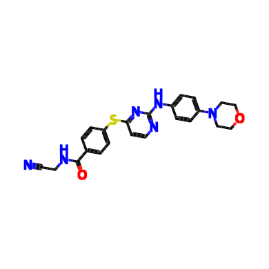 N#CCNC(=O)c1ccc(Sc2ccnc(Nc3ccc(N4CCOCC4)cc3)n2)cc1